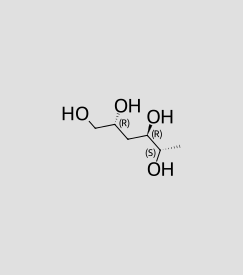 C[C@H](O)[C@H](O)C[C@@H](O)CO